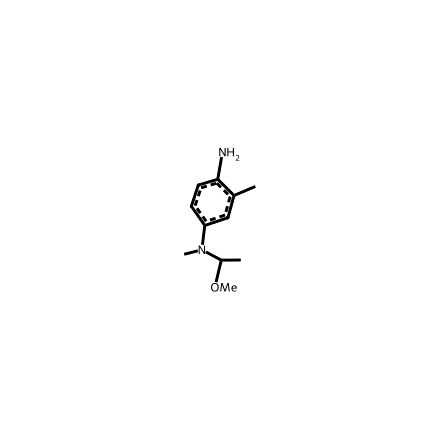 COC(C)N(C)c1ccc(N)c(C)c1